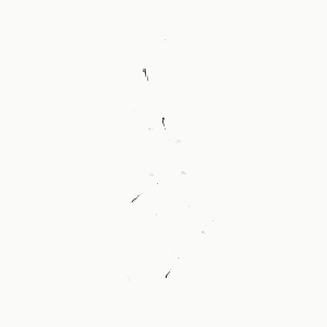 C=C(C)[C@]12CCC[C@]1(C(=O)Cl)CC[C@]1(C)[C@H]2CC[C@@H]2[C@@]3(C)CC[C@H](OC(C)=O)C(C)(C)[C@@H]3CC[C@]21C